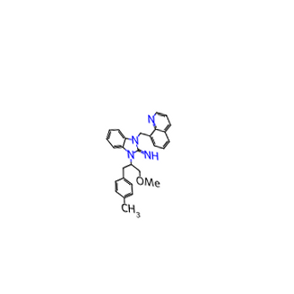 COCC(Cc1ccc(C)cc1)n1c(=N)n(Cc2cccc3cccnc23)c2ccccc21